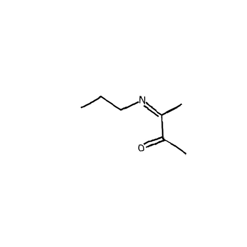 CCCN=C(C)C(C)=O